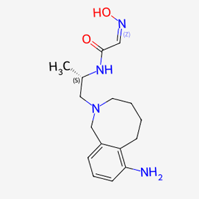 C[C@@H](CN1CCCCc2c(N)cccc2C1)NC(=O)/C=N\O